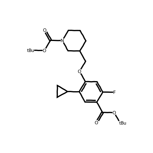 CC(C)(C)OC(=O)c1cc(C2CC2)c(OCC2CCCN(C(=O)OC(C)(C)C)C2)cc1F